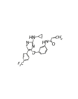 C=CC(=O)Nc1cccc(Oc2nc(NC3CC3)ncc2-c2ccc(C(F)(F)F)cc2)c1